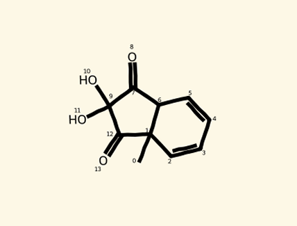 CC12C=CC=CC1C(=O)C(O)(O)C2=O